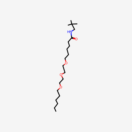 CCCCCCOCCOCCOCCCCCC(=O)NCC(C)(C)C